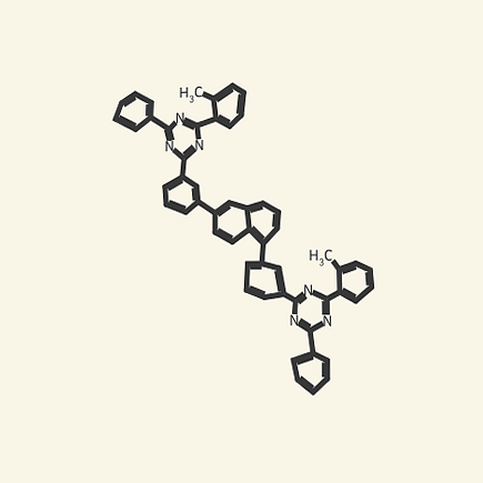 Cc1ccccc1-c1nc(-c2ccccc2)nc(-c2cccc(-c3ccc4c(-c5cccc(-c6nc(-c7ccccc7)nc(-c7ccccc7C)n6)c5)cccc4c3)c2)n1